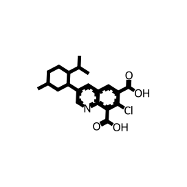 CC1CCC(C(C)C)C(c2cnc3c(C(=O)O)c(Cl)c(C(=O)O)cc3c2)C1